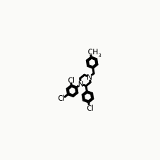 Cc1ccc(CN2CCN(c3ccc(Cl)cc3Cl)C(c3ccc(Cl)cc3)C2)cc1